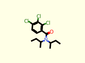 CCC(C)N(C(=O)c1ccc(Cl)c(Cl)c1Cl)C(C)CC